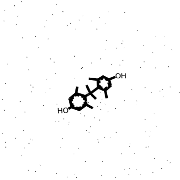 Cc1cc(O)cc(C)c1C(C)(C)c1c(C)cc(O)cc1C